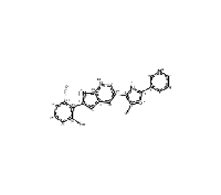 Cc1sc(-c2cccnc2)nc1-c1cnc2[nH]c(-c3c(F)cccc3F)cc2c1